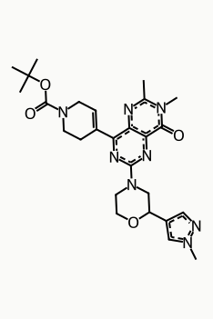 Cc1nc2c(C3=CCN(C(=O)OC(C)(C)C)CC3)nc(N3CCOC(c4cnn(C)c4)C3)nc2c(=O)n1C